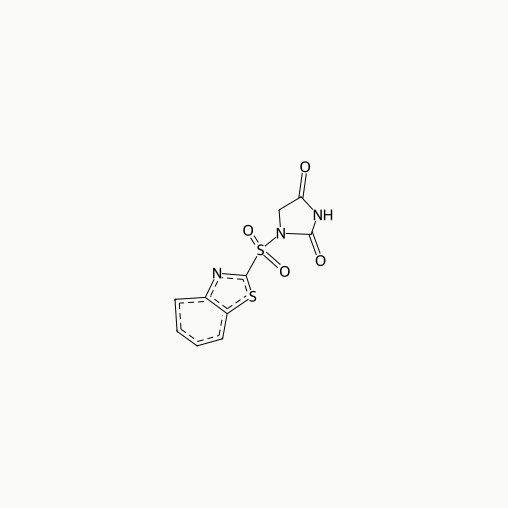 O=C1CN(S(=O)(=O)c2nc3ccccc3s2)C(=O)N1